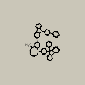 C=C1/C=C\C=C/CN(c2ccc(C3(c4ccccc4)c4ccccc4-c4ccccc43)cc2)c2ccc(-c3ccc4c5ccccc5n(-c5ccc(-c6ccccc6)cc5)c4c3)cc21